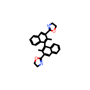 Cc1c(C2=NCCO2)cc2ccccc2c1-c1c(C)c(C2=NCCO2)cc2ccccc12